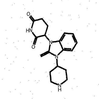 C=C1N(C2CCNCC2)c2ccccc2N1C1CCC(=O)NC1=O